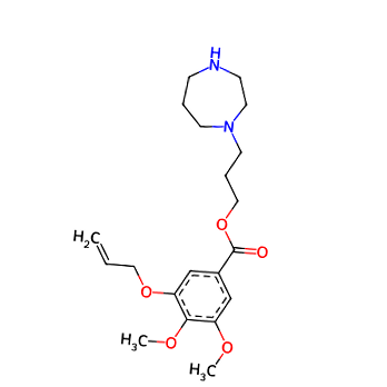 C=CCOc1cc(C(=O)OCCCN2CCCNCC2)cc(OC)c1OC